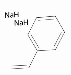 C=Cc1ccccc1.[NaH].[NaH]